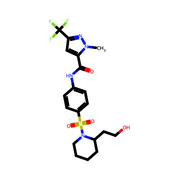 Cn1nc(C(F)(F)F)cc1C(=O)Nc1ccc(S(=O)(=O)N2CCCCC2CCO)cc1